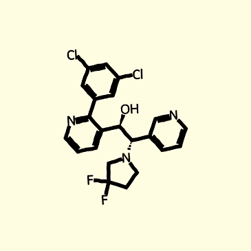 O[C@H](c1cccnc1-c1cc(Cl)cc(Cl)c1)[C@H](c1cccnc1)N1CCC(F)(F)C1